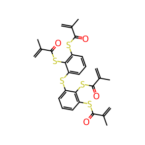 C=C(C)C(=O)Sc1cccc(Sc2cccc(SC(=O)C(=C)C)c2SC(=O)C(=C)C)c1SC(=O)C(=C)C